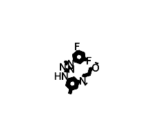 COCCCN(C)c1cc(C)cc(Nc2ncn(-c3cc(F)cc(F)c3)n2)c1